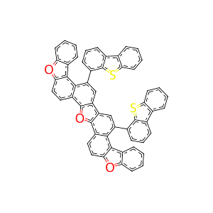 c1ccc2c(c1)oc1ccc3c4oc5c(cc(-c6cccc7c6sc6ccccc67)c6c5ccc5oc7ccccc7c56)c4cc(-c4cccc5c4sc4ccccc45)c3c12